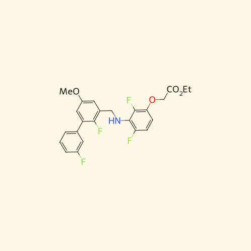 CCOC(=O)COc1ccc(F)c(NCc2cc(OC)cc(-c3cccc(F)c3)c2F)c1F